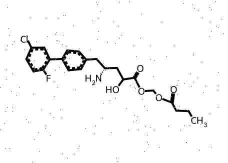 CCCC(=O)OCOC(=O)C(O)C[C@H](N)Cc1ccc(-c2cc(Cl)ccc2F)cc1